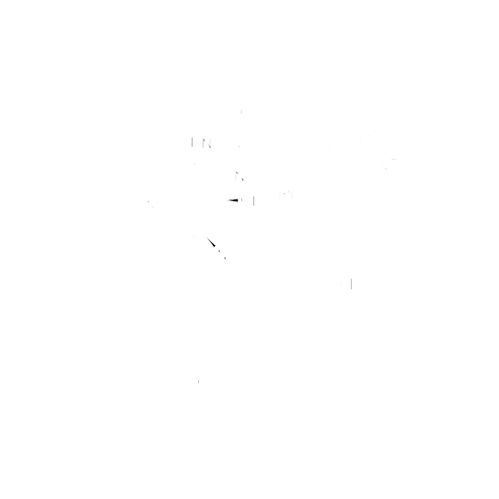 CCCN=S(=O)(N[C@H]1COC[C@H](n2c3ccc(Cl)cc3c3cc(Cl)ccc32)[C@@H]1O)c1ccc(OC(F)(F)F)cc1